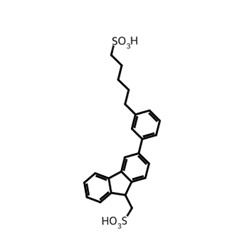 O=S(=O)(O)CCCCCc1cccc(-c2ccc3c(c2)-c2ccccc2C3CS(=O)(=O)O)c1